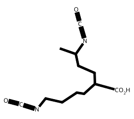 CC(CCC(CCCCN=C=O)C(=O)O)N=C=O